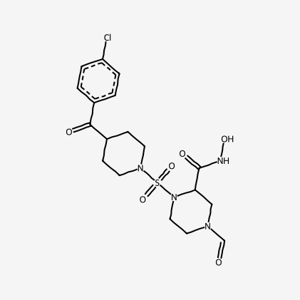 O=CN1CCN(S(=O)(=O)N2CCC(C(=O)c3ccc(Cl)cc3)CC2)C(C(=O)NO)C1